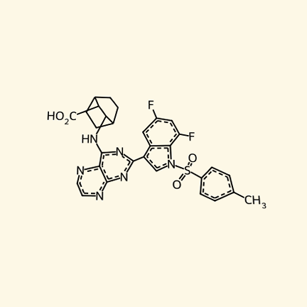 Cc1ccc(S(=O)(=O)n2cc(-c3nc(NC4C5CCC(CC5)C4C(=O)O)c4nccnc4n3)c3cc(F)cc(F)c32)cc1